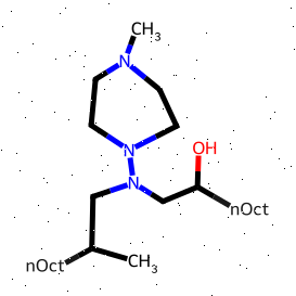 CCCCCCCCC(C)CN(CC(O)CCCCCCCC)N1CCN(C)CC1